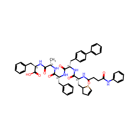 C[C@H](NC(=O)[C@@H](Cc1ccccc1)NC(=O)[C@H](Cc1ccc(-c2ccccc2)cc1)NC(=O)[C@@H](CC1CC=CS1)NC(=O)CCC(=O)Nc1ccccc1)C(=O)N[C@H](Cc1ccccc1)C(=O)O